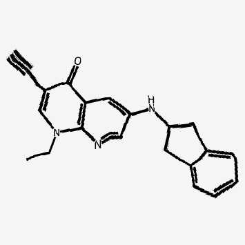 C#Cc1cn(CC)c2ncc(NC3Cc4ccccc4C3)cc2c1=O